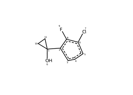 OC1(c2cccc(Cl)c2F)CC1